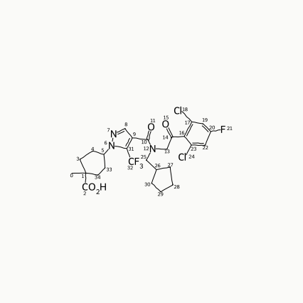 CC1(C(=O)O)CCC(n2ncc(C(=O)N(CC(=O)c3c(Cl)cc(F)cc3Cl)CC3CCCC3)c2C(F)(F)F)CC1